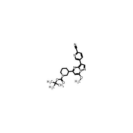 COc1cc(C2CCCN(C(=O)OC(C)(C)C)C2)nc2c(-c3ccc(C#N)nc3)cnn12